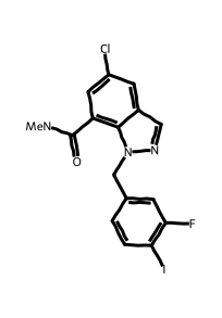 CNC(=O)c1cc(Cl)cc2cnn(Cc3ccc(I)c(F)c3)c12